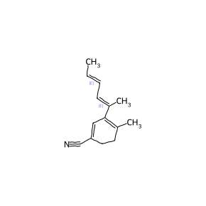 C/C=C/C=C(\C)C1=C(C)CCC(C#N)=C1